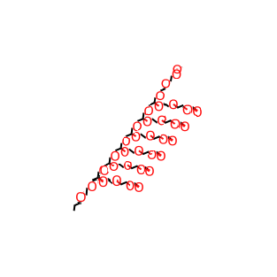 CCCOCCOCC(COCC(COCC(COCC(COCC(COCC(COCCOCCOOC)OCCOCCOC=O)OCCOCCOC=O)OCCOCCOC=O)OCCOCCOC=O)OCCOCCOC=O)OCCOCCOC=O